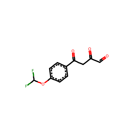 O=CC(=O)CC(=O)c1ccc(OC(F)F)cc1